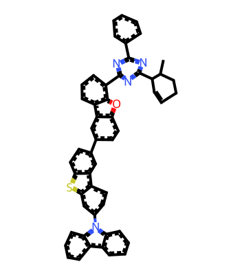 CC1CCC=CC1c1nc(-c2ccccc2)nc(-c2cccc3c2oc2ccc(-c4ccc5sc6cc(-n7c8ccccc8c8ccccc87)ccc6c5c4)cc23)n1